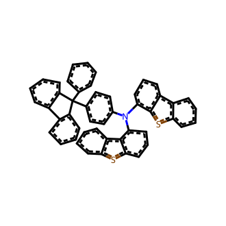 c1ccc(C2(c3ccc(N(c4cccc5c4sc4ccccc45)c4cccc5sc6ccccc6c45)cc3)c3ccccc3-c3ccccc32)cc1